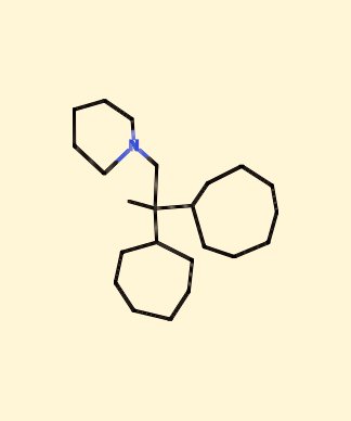 CC(CN1CCCCC1)(C1CCCCCCC1)C1CCCCCC1